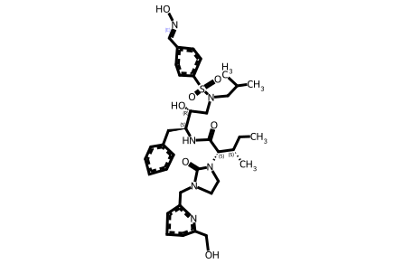 CC[C@H](C)[C@@H](C(=O)N[C@@H](Cc1ccccc1)[C@H](O)CN(CC(C)C)S(=O)(=O)c1ccc(/C=N/O)cc1)N1CCN(Cc2cccc(CO)n2)C1=O